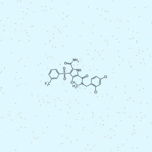 Cc1c(C(=O)N(C)Cc2ccc(Cl)cc2Cl)[nH]c(C(N)=O)c1S(=O)(=O)c1cccc(C(F)(F)F)c1